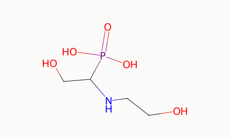 O=P(O)(O)C(CO)NCCO